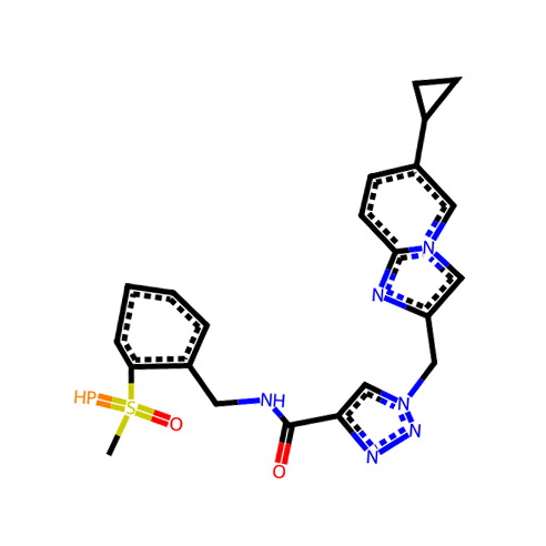 CS(=O)(=P)c1ccccc1CNC(=O)c1cn(Cc2cn3cc(C4CC4)ccc3n2)nn1